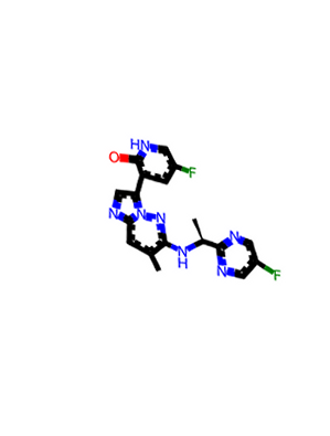 Cc1cc2ncc(-c3cc(F)c[nH]c3=O)n2nc1N[C@@H](C)c1ncc(F)cn1